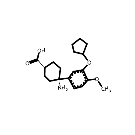 COc1ccc([C@]2(N)CC[C@@H](C(=O)O)CC2)cc1OC1CCCC1